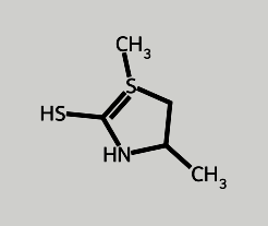 CC1CS(C)=C(S)N1